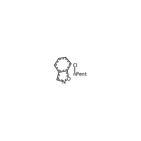 CCCCCCl.c1ccc2oncc2c1